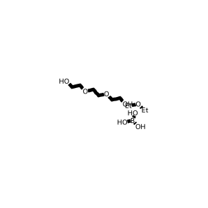 CCOCC.OB(O)O.OCCOCCOCCO